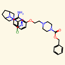 Nc1nnc(Cl)cc1N1C2CCC1CN(c1cccc(OCCN3CCN(C(=O)OCc4ccccc4)CC3)c1)C2